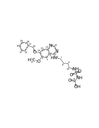 COc1cc2c(NCCCCNS(=O)(=O)NC(=O)O)ncnc2cc1OCc1ccccc1